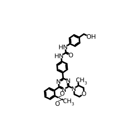 CC1COCCN1c1nc(-c2ccc(NC(=O)Nc3ccc(CO)cc3)cc2)nc(-c2ccccc2S(C)(=O)=O)n1